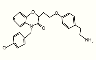 NCCc1ccc(OCCC2Oc3ccccc3N(Cc3ccc(Cl)cc3)C2=O)cc1